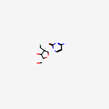 Nc1ccn([C@@H]2O[C@H](CO)C(O)[C@]2(F)CF)c(=S)n1